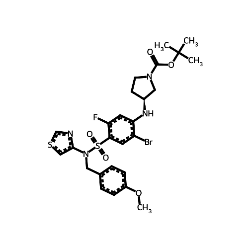 COc1ccc(CN(c2cscn2)S(=O)(=O)c2cc(Br)c(N[C@H]3CCN(C(=O)OC(C)(C)C)C3)cc2F)cc1